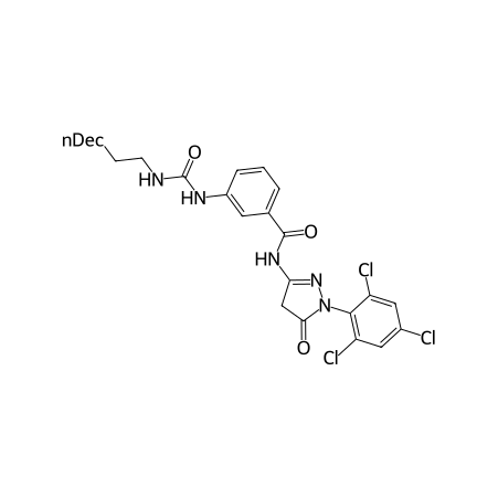 CCCCCCCCCCCCNC(=O)Nc1cccc(C(=O)NC2=NN(c3c(Cl)cc(Cl)cc3Cl)C(=O)C2)c1